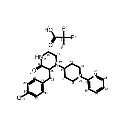 O=C(O)C(F)(F)F.O=C1NCCN(C2CCN(c3ccccn3)CC2)C1Cc1ccc(Cl)cc1